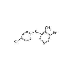 Cc1c(Br)cncc1Sc1ccc(Cl)cc1